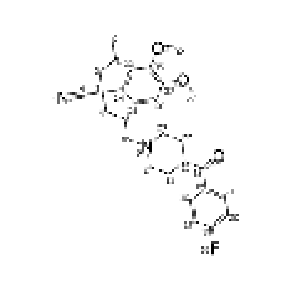 CCCC(C#N)(CCCN1CCC(C(=O)c2ccc(F)cc2)CC1)c1ccc(OC)c(OC)c1